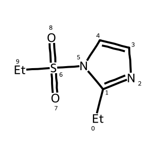 CCc1nccn1S(=O)(=O)CC